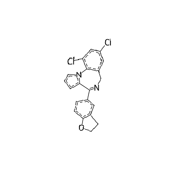 Clc1cc(Cl)c2c(c1)CN=C(c1ccc3c(c1)CCO3)c1cccn1-2